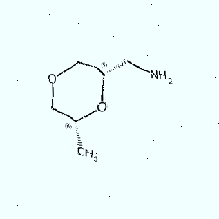 C[C@@H]1COC[C@H](CN)O1